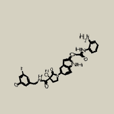 Nc1ccccc1NC(=O)Oc1cc2cc(N3CC[C@](O)(C(=O)NCc4cc(F)cc(Cl)c4)C3=O)ccc2[nH]1